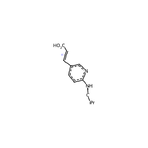 CC(C)CNc1ccc(/C=C/C(=O)O)cn1